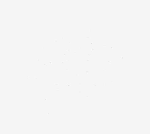 Fc1ccc2c(c1)c1cc(F)ccc1n2-c1ccc2c(-c3cc4ccccc4c4ccccc34)c3cc(-n4c5ccc(F)cc5c5cc(F)ccc54)ccc3c(-c3cc4ccccc4c4ccccc34)c2c1